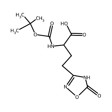 CC(C)(C)OC(=O)NC(CCc1noc(=O)[nH]1)C(=O)O